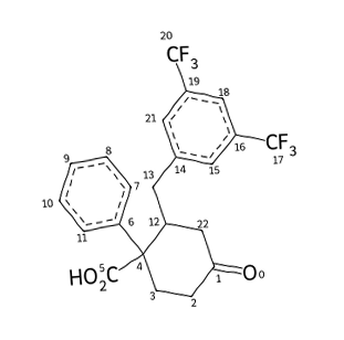 O=C1CCC(C(=O)O)(c2ccccc2)C(Cc2cc(C(F)(F)F)cc(C(F)(F)F)c2)C1